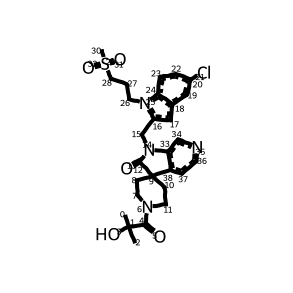 CC(C)(O)C(=O)N1CCC2(CC1)C(=O)N(Cc1cc3cc(Cl)ccc3n1CCCS(C)(=O)=O)c1cnccc12